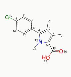 Cc1c(C)c(-c2ccc(Cl)cc2)n(C)c1C(=O)O